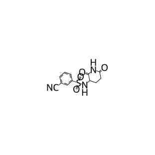 N#Cc1cccc(S(=O)(=O)NC2CCC(=O)NC2=O)c1